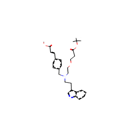 COC(=O)/C=C/c1ccc(CN(CCOCCC(=O)OC(C)(C)C)CCc2c[nH]c3ccccc23)cc1